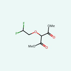 COC(=O)C(OCC(F)F)C(=O)OC